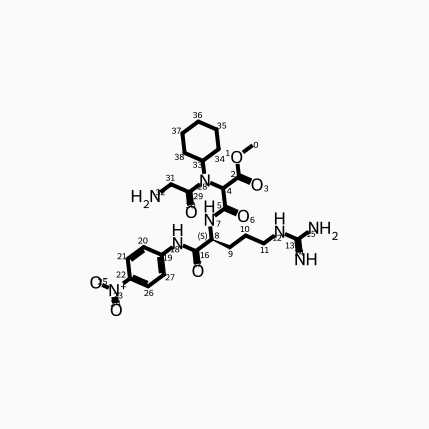 COC(=O)C(C(=O)N[C@@H](CCCNC(=N)N)C(=O)Nc1ccc([N+](=O)[O-])cc1)N(C(=O)CN)C1CCCCC1